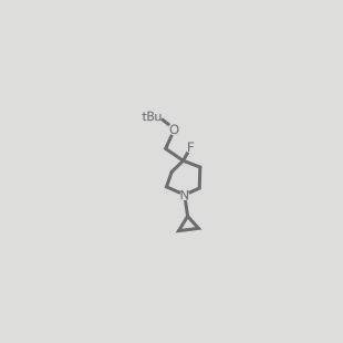 CC(C)(C)OCC1(F)CCN(C2CC2)CC1